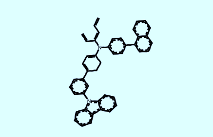 C=C/C=C(\C=C)N(C1=CC=C(c2cccc(-n3c4ccccc4c4ccccc43)c2)CC1)c1ccc(-c2cccc3ccccc23)cc1